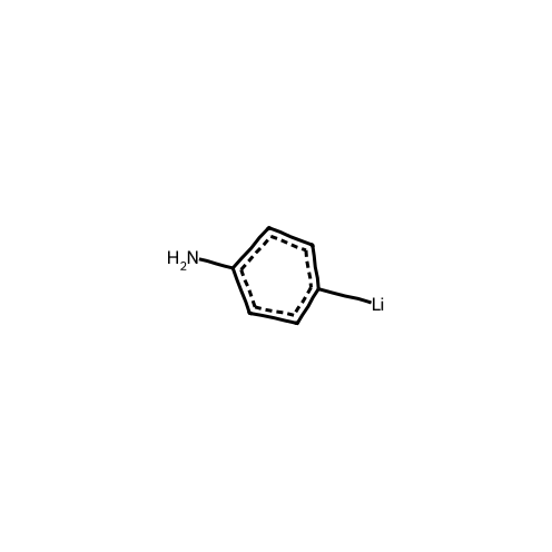 [Li][c]1ccc(N)cc1